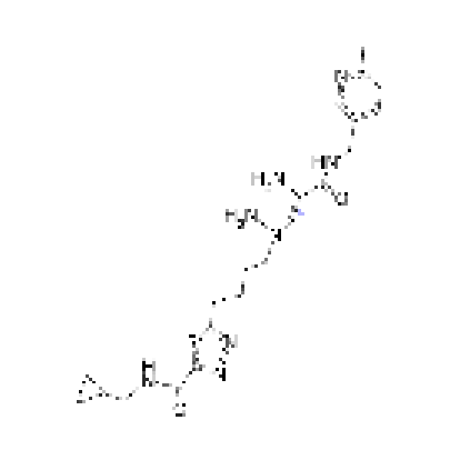 Cc1ccc(CNC(=O)/C(N)=C/N(N)CCCCc2nnc(C(=O)NCC3CC3)s2)cn1